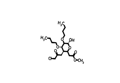 CCCCOC1[C@H](O)OC(CC(=O)OC)[C@@H](CC(=O)CCl)[C@@H]1OCCCC